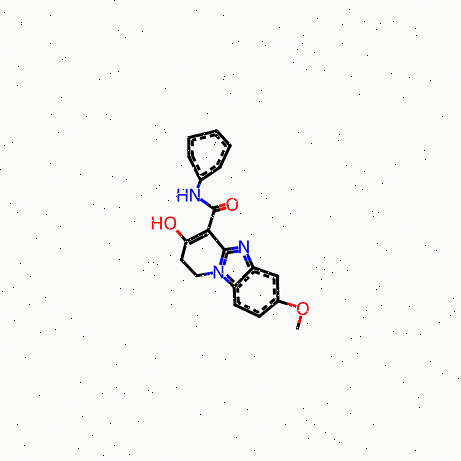 COc1ccc2c(c1)nc1n2CCC(O)=C1C(=O)Nc1ccccc1